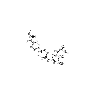 CCNC(=O)c1ccc(N2CCN(Cc3cc(O)c4c(c3)NC(=O)C(C)O4)CC2)cc1